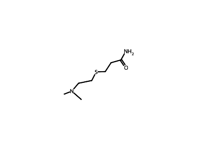 CN(C)CCSCCC(N)=O